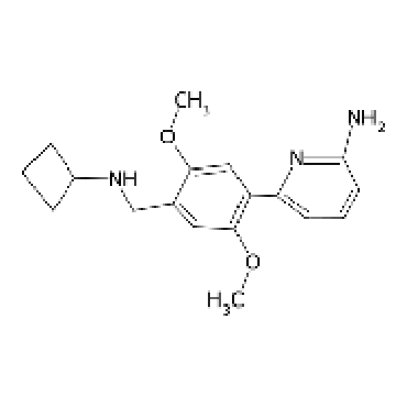 COc1cc(-c2cccc(N)n2)c(OC)cc1CNC1CCC1